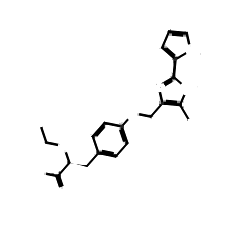 CCO[C@@H](Cc1ccc(OCc2nc(-c3cccs3)oc2C)cc1)C(=O)O